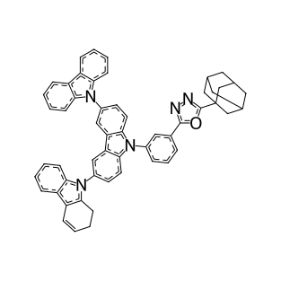 C1=Cc2c(n(-c3ccc4c(c3)c3cc(-n5c6ccccc6c6ccccc65)ccc3n4-c3cccc(-c4nnc(C56CC7CC(CC(C7)C5)C6)o4)c3)c3ccccc23)CC1